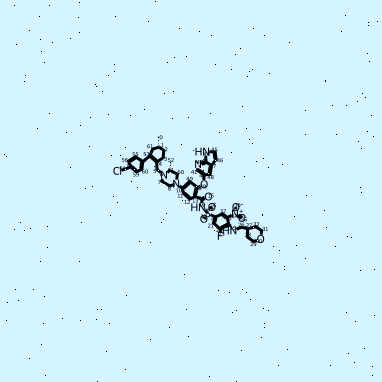 C[C@@H]1CCC(CN2CCN(c3ccc(C(=O)NS(=O)(=O)c4cc(F)c(NCC5CCOCC5)c([N+](=O)[O-])c4)c(Oc4cnc5[nH]ccc5c4)c3)C[C@H]2C)=C(c2ccc(Cl)cc2)C1